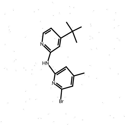 Cc1cc(Br)nc(Nc2cc(C(C)(C)C)ccn2)c1